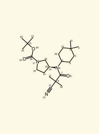 CC1(C)CCC(N(C(=O)C(C)(C)C#N)[C@H]2CCN(C(=O)OC(C)(C)C)C2)CC1